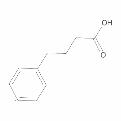 O=C(O)CCCc1cc[c]cc1